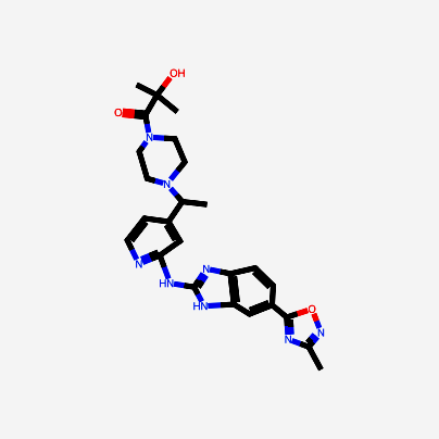 Cc1noc(-c2ccc3nc(Nc4cc(C(C)N5CCN(C(=O)C(C)(C)O)CC5)ccn4)[nH]c3c2)n1